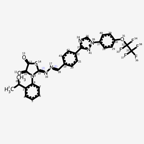 CC(C)c1ccccc1N1C(=O)C(=O)S/C1=N\N=C\c1ccc(-c2ncn(-c3ccc(OC(F)(F)C(F)(F)F)cc3)n2)cc1